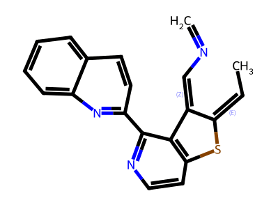 C=N/C=c1\c(=C/C)sc2ccnc(-c3ccc4ccccc4n3)c12